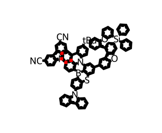 CC(C)(C)c1ccc(N2c3cc(-n4c5ccc(C#N)cc5c5cc(C#N)ccc54)ccc3B3c4ccc(-n5c6ccccc6c6ccccc65)cc4Sc4cc(-c5ccc6oc7cc([Si](c8ccccc8)(c8ccccc8)c8ccccc8)c8oc9ccccc9c8c7c6c5)cc2c43)c(-c2ccccc2)c1